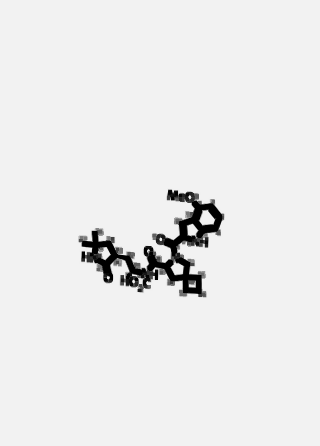 COc1cccc2[nH]c(C(=O)N3CC4(CCC4)CC3C(=O)N[C@@H](C[C@@H]3CC(C)(C)NC3=O)C(=O)O)cc12